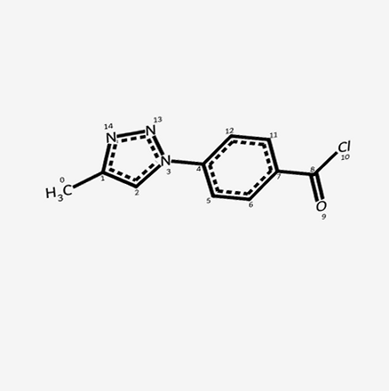 Cc1cn(-c2ccc(C(=O)Cl)cc2)nn1